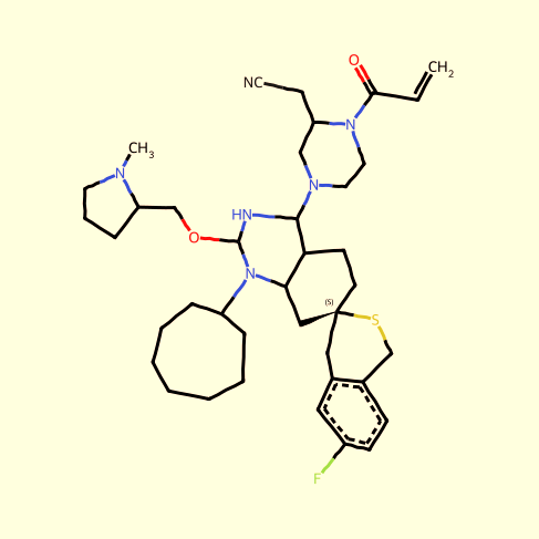 C=CC(=O)N1CCN(C2NC(OCC3CCCN3C)N(C3CCCCCCC3)C3C[C@]4(CCC23)Cc2cc(F)ccc2CS4)CC1CC#N